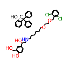 O=C(O)C(c1ccccc1)(c1ccccc1)c1ccccc1.OCc1cc([C@@H](O)CNCCCCCCOCCOCc2c(Cl)cccc2Cl)ccc1O